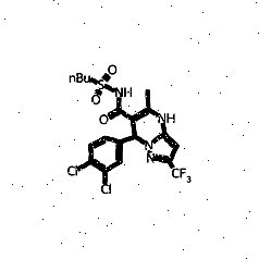 CCCCS(=O)(=O)NC(=O)C1=C(C)Nc2cc(C(F)(F)F)nn2C1c1ccc(Cl)c(Cl)c1